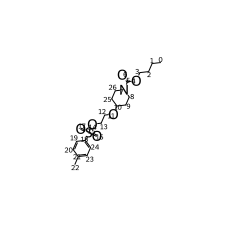 CCCCOC(=O)N1CCC(OCCOS(=O)(=O)c2ccc(C)cc2)CC1